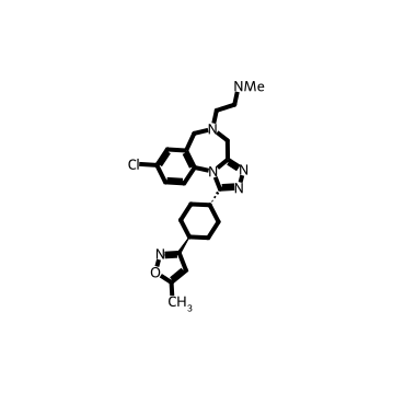 CNCCN1Cc2cc(Cl)ccc2-n2c(nnc2[C@H]2CC[C@H](c3cc(C)on3)CC2)C1